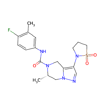 Cc1cc(NC(=O)N2Cc3c(N4CCCS4(=O)=O)cnn3C[C@@H]2C)ccc1F